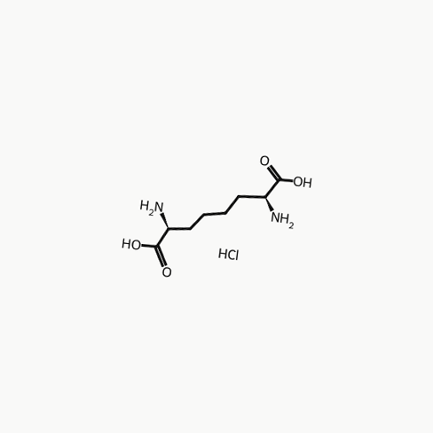 Cl.N[C@@H](CCCC[C@H](N)C(=O)O)C(=O)O